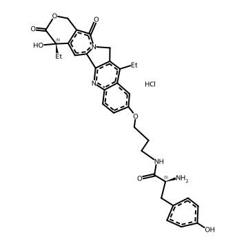 CCc1c2c(nc3ccc(OCCCNC(=O)[C@@H](N)Cc4ccc(O)cc4)cc13)-c1cc3c(c(=O)n1C2)COC(=O)[C@]3(O)CC.Cl